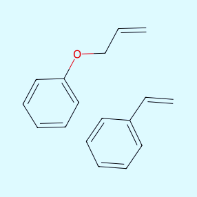 C=CCOc1ccccc1.C=Cc1ccccc1